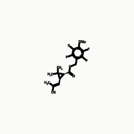 COc1c(F)c(F)c(COC(=O)[C@@H]2[C@@H](C=C(C)C#N)C2(C)C)c(F)c1F